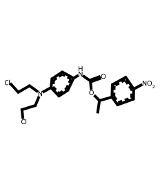 CC(OC(=O)Nc1ccc(N(CCCl)CCCl)cc1)c1ccc([N+](=O)[O-])cc1